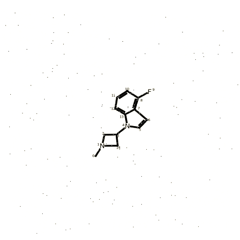 CN1CC(n2ccc3c(F)cccc32)C1